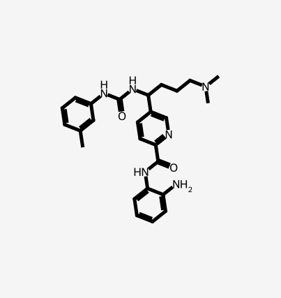 Cc1cccc(NC(=O)NC(CCCN(C)C)c2ccc(C(=O)Nc3ccccc3N)nc2)c1